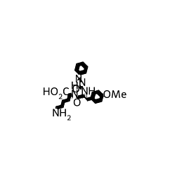 COc1ccc(C[C@H](NC(=O)N=Nc2ccccc2)C(=O)N[C@@H](CCCCN)C(=O)O)cc1